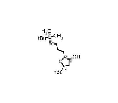 CCCC[C@H]1C[C@H](O)[C@H](CCCO[Si](C)(C)C(C)(C)C)O1